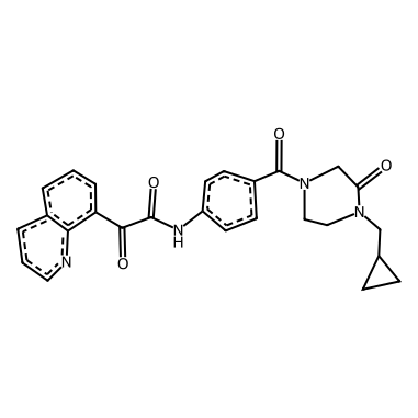 O=C(Nc1ccc(C(=O)N2CCN(CC3CC3)C(=O)C2)cc1)C(=O)c1cccc2cccnc12